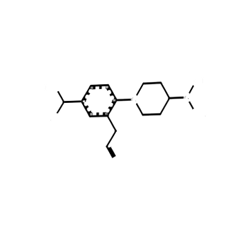 C=CCc1cc(C(C)C)ccc1N1CCC(N(C)C)CC1